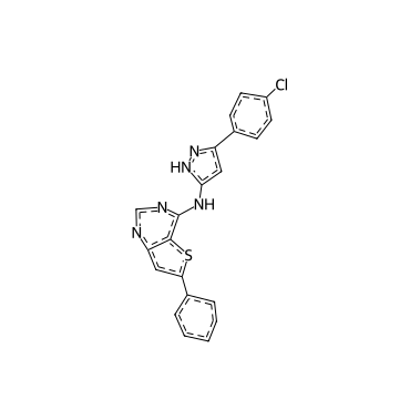 Clc1ccc(-c2cc(Nc3ncnc4cc(-c5ccccc5)sc34)[nH]n2)cc1